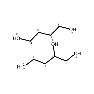 CCCC(O)CO.OCCCCO